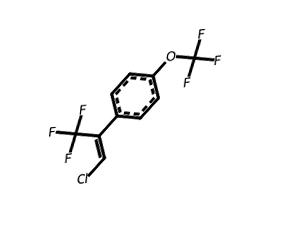 FC(F)(F)Oc1ccc(/C(=C/Cl)C(F)(F)F)cc1